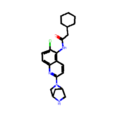 O=C(CC1CCCCC1)Nc1c(Cl)ccc2nc(N3CC4CC3CN4)ccc12